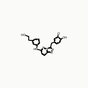 OCCc1cccc(Nc2ccc3nnc(Cc4ccc(O)c(Cl)c4)n3n2)c1